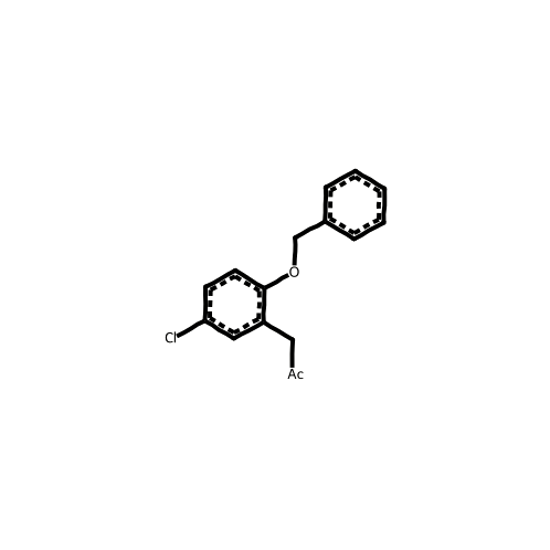 CC(=O)Cc1cc(Cl)ccc1OCc1ccccc1